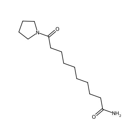 NC(=O)CCCCCCCCC(=O)N1CCCC1